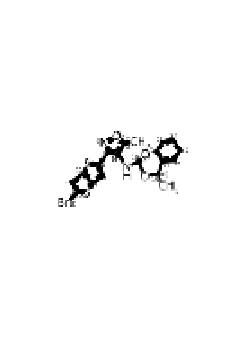 Cc1onc(-c2cc3sc(Br)cc3s2)c1NC(=O)O[C@H](C)c1ccccc1